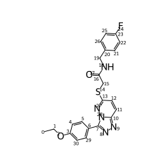 CCOc1ccc(-c2nnc3ccc(SCC(=O)NCc4ccc(F)cc4)nn23)cc1